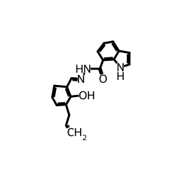 C=CCc1cccc(C=NNC(=O)c2cccc3cc[nH]c23)c1O